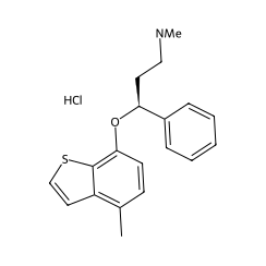 CNCC[C@H](Oc1ccc(C)c2ccsc12)c1ccccc1.Cl